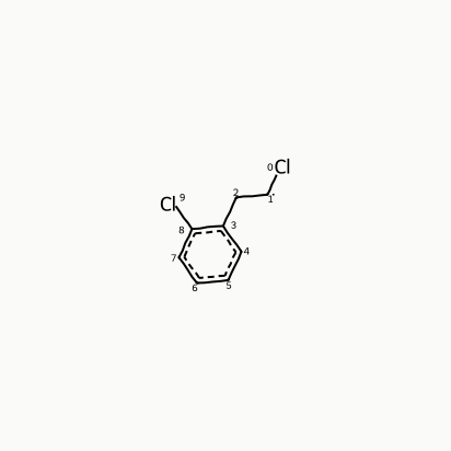 Cl[CH]Cc1ccccc1Cl